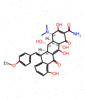 CCOc1ccc(/C=C2\c3cccc(O)c3C(=O)C3=C(O)[C@]4(O)C(=O)C(C(N)=O)=C(O)[C@@H](N(C)C)[C@@H]4[C@@H](O)[C@@H]32)cc1